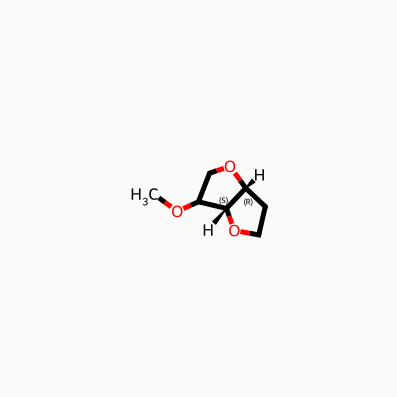 COC1CO[C@@H]2CCO[C@H]12